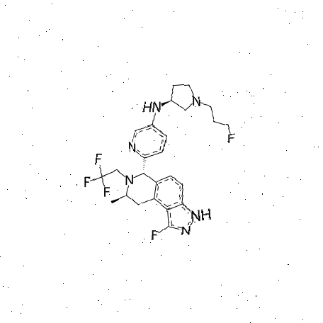 C[C@@H]1Cc2c(ccc3[nH]nc(F)c23)[C@@H](c2ccc(N[C@H]3CCN(CCCF)C3)cn2)N1CC(F)(F)F